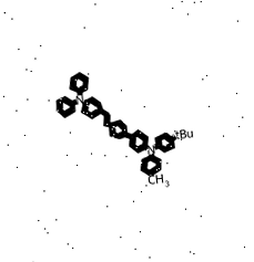 Cc1ccc(N(c2ccc(-c3ccc(/C=C/c4ccc(N(c5ccccc5)c5ccccc5)cc4)cc3)cc2)c2ccc(C(C)(C)C)cc2)cc1